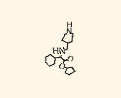 O=C(OC1CCCC1)[C@@H](NCC1CCNCC1)C1CCCCC1